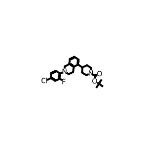 CC(C)(C)OC(=O)N1CCC(c2cccc3c2CCN(c2ccc(Cl)cc2F)C3)CC1